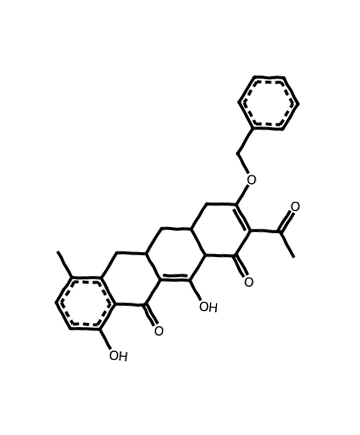 CC(=O)C1=C(OCc2ccccc2)CC2CC3Cc4c(C)ccc(O)c4C(=O)C3=C(O)C2C1=O